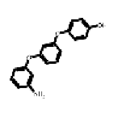 Nc1cccc(Oc2cccc(Oc3ccc(O)cc3)c2)c1